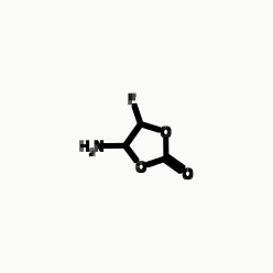 NC1OC(=O)OC1F